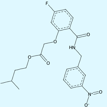 CC(C)CCOC(=O)COc1cc(F)ccc1C(=O)NCc1cccc([N+](=O)[O-])c1